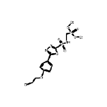 CCOP(=O)(CNS(=O)(=O)c1nnc(-c2ccc(OCCCl)cc2)s1)OCC